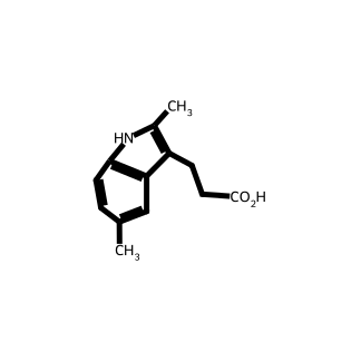 Cc1ccc2[nH]c(C)c(CCC(=O)O)c2c1